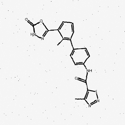 Cc1nnsc1C(=O)Nc1ccc(-c2cccc(-c3n[nH]c(=O)o3)c2C)cc1